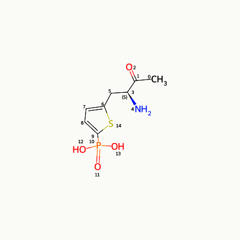 CC(=O)[C@@H](N)Cc1ccc(P(=O)(O)O)s1